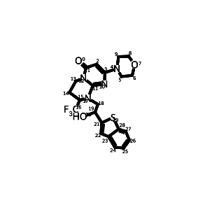 O=c1cc(N2CCOCC2)nc2n1CCC(C(F)(F)F)N2CC(O)c1cc2ccccc2s1